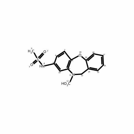 CS(=O)(=O)Nc1ccc2c(c1)N(C(=O)O)Cc1ccccc1O2